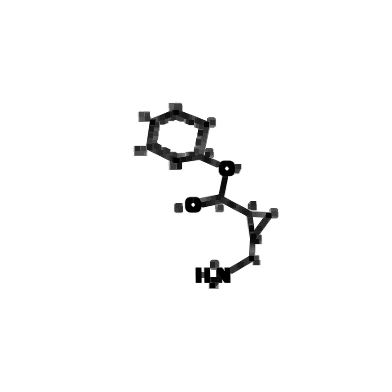 NCC1CC1C(=O)Oc1ccccc1